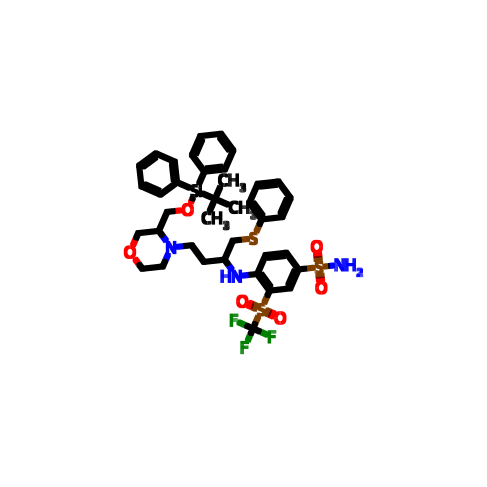 CC(C)(C)[Si](OCC1COCCN1CCC(CSc1ccccc1)Nc1ccc(S(N)(=O)=O)cc1S(=O)(=O)C(F)(F)F)(c1ccccc1)c1ccccc1